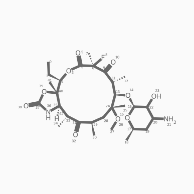 CC[C@H]1OC(=O)[C@@](C)(F)C(=O)[C@H](C)[C@@H](O[C@@H]2O[C@H](C)CC(N)C2O)[C@](C)(OC)C[C@@H](C)C(=O)[C@H](C)[C@H]2NC(=O)O[C@@]21C